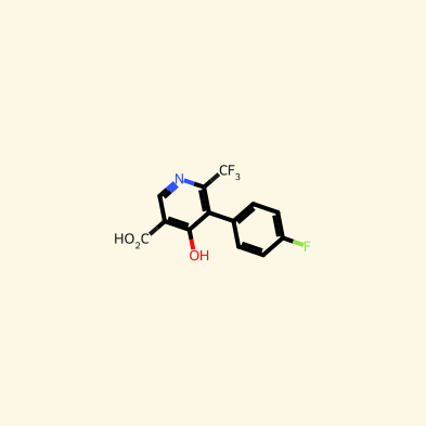 O=C(O)c1cnc(C(F)(F)F)c(-c2ccc(F)cc2)c1O